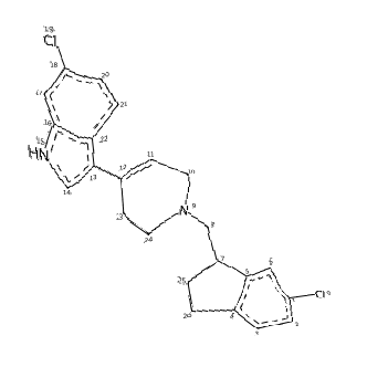 Clc1ccc2c(c1)C(CN1CC=C(c3c[nH]c4cc(Cl)ccc34)CC1)CC2